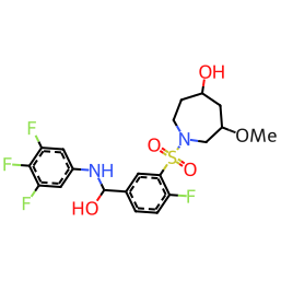 COC1CC(O)CCN(S(=O)(=O)c2cc(C(O)Nc3cc(F)c(F)c(F)c3)ccc2F)C1